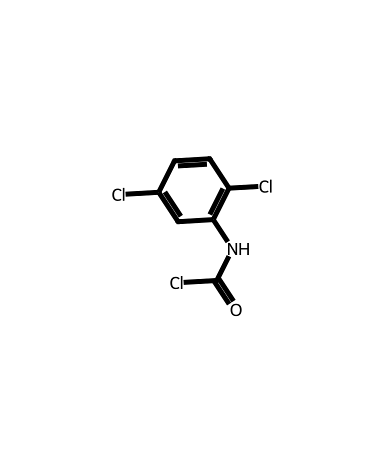 O=C(Cl)Nc1cc(Cl)ccc1Cl